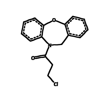 O=C(CCCl)N1Cc2ccccc2Oc2ccccc21